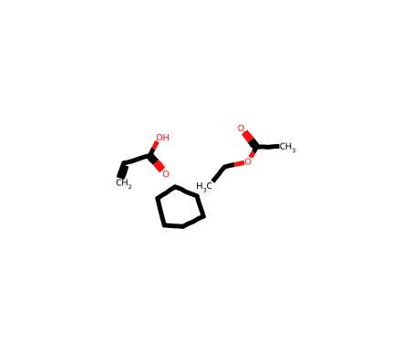 C1CCCCC1.C=CC(=O)O.CCOC(C)=O